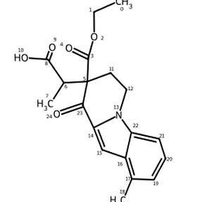 CCOC(=O)C1(C(C)C(=O)O)CCn2c(cc3c(C)cccc32)C1=O